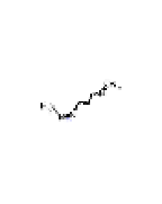 C=NCCC/N=N\N